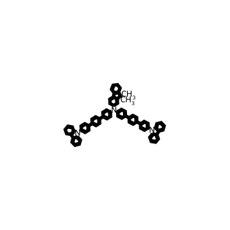 CC1(C)C2=CC(N(c3ccc(-c4ccc(-c5ccc(-n6c7c(c8ccccc86)CCC=C7)cc5)cc4)cc3)c3ccc(-c4ccc(-c5ccc(-n6c7ccccc7c7ccccc76)cc5)cc4)cc3)CC=C2C2=C1CCC=C2